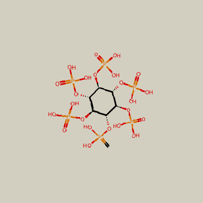 C=P(O)(O)O[C@@H]1[C@@H](OP(=O)(O)O)[C@H](OP(=O)(O)O)[C@@H](OP(=O)(O)O)[C@H](OP(=O)(O)O)[C@H]1OP(=O)(O)O